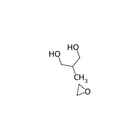 C1CO1.CC(CO)CO